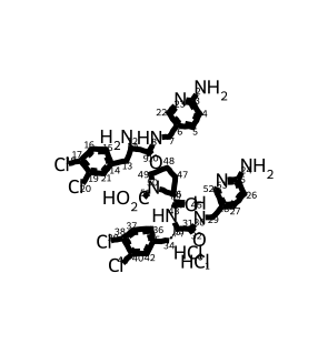 Cl.Cl.Nc1ccc(CNC(=O)[C@@H](N)Cc2ccc(Cl)c(Cl)c2)cn1.Nc1ccc(CNC(=O)[C@H](Cc2ccc(Cl)c(Cl)c2)NC(=O)[C@H]2CCCN2C(=O)O)cn1